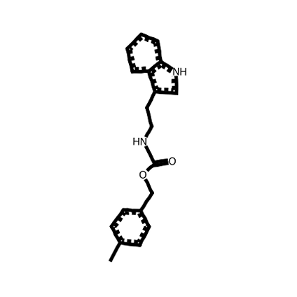 Cc1ccc(COC(=O)NCCc2c[nH]c3ccccc23)cc1